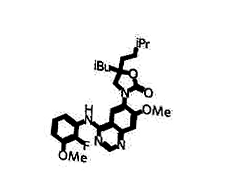 CCC(C)C1(CCC(C)C)CN(c2cc3c(Nc4cccc(OC)c4F)ncnc3cc2OC)C(=O)O1